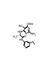 COc1nc(N)nc(N[C@@H](C)C(=O)Nc2cccc(CF)c2)c1C#N